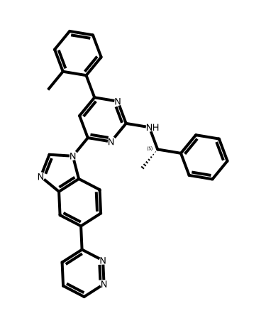 Cc1ccccc1-c1cc(-n2cnc3cc(-c4cccnn4)ccc32)nc(N[C@@H](C)c2ccccc2)n1